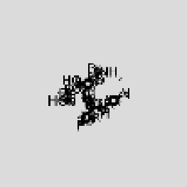 C[C@@H](c1nc(-c2ccc(C#N)cc2)cs1)[C@](O)(Cn1c[n+](Cc2ccc(OC(=O)CN)cc2C(=O)O)cn1)c1ccc(F)cc1F.O=C(O)C(F)(F)F.[Br-]